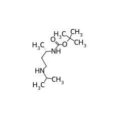 CC(C)NCC[C@H](C)NC(=O)OC(C)(C)C